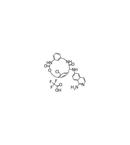 Nc1nccc2cc(NC3C(=O)NCc4cccc(c4)NC(=O)OCCc4ccc3cc4Cl)ccc12.O=C(O)C(F)(F)F